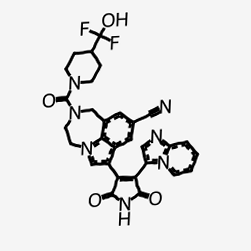 N#Cc1cc2c3c(c1)c(C1=C(c4cnc5ccccn45)C(=O)NC1=O)cn3CCN(C(=O)N1CCC(C(O)(F)F)CC1)C2